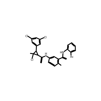 C=C(Nc1ccccc1C(C)=O)c1cc(NC(=C)C2C(c3cc(Cl)cc(Cl)c3)C2(C)Cl)ccc1C